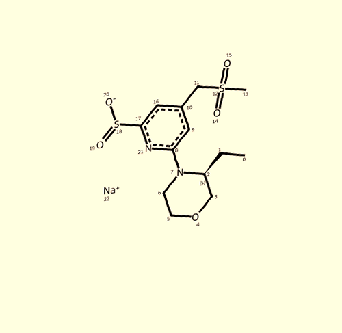 CC[C@H]1COCCN1c1cc(CS(C)(=O)=O)cc(S(=O)[O-])n1.[Na+]